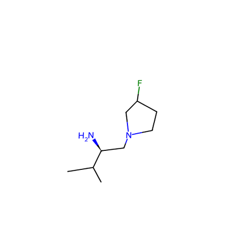 CC(C)[C@@H](N)CN1CCC(F)C1